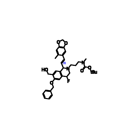 Cc1cc2c(cc1/C=C/C1c3cc(CO)c(OCc4ccccc4)cc3C(F)CN1CCCN(C)C(=O)OC(C)(C)C)OCO2